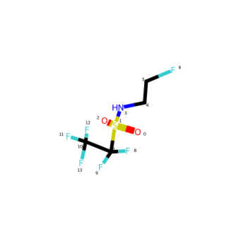 O=S(=O)(NCCF)C(F)(F)C(F)(F)F